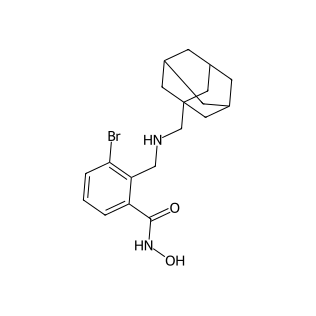 O=C(NO)c1cccc(Br)c1CNCC12CC3CC(CC(C3)C1)C2